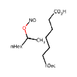 CCCCCCC(C)ON=O.CCCCCCCCCCCCCCCC(=O)O